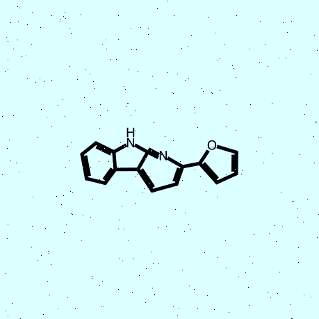 c1coc(-c2ccc3c(n2)[nH]c2ccccc23)c1